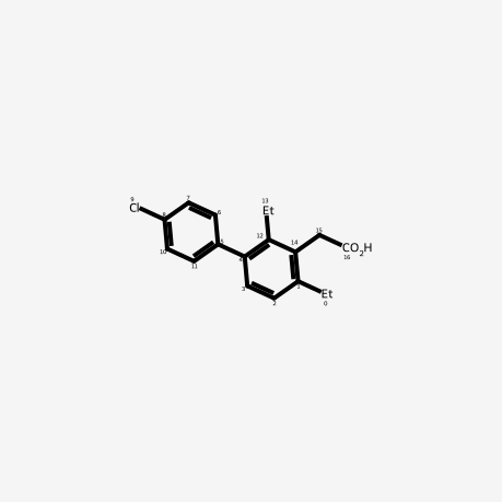 CCc1ccc(-c2ccc(Cl)cc2)c(CC)c1CC(=O)O